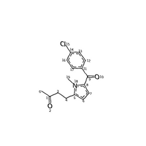 CC(=O)CCc1ccc(C(=O)c2ccc(Cl)cc2)n1C